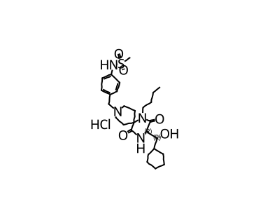 CCCCN1C(=O)[C@@H]([C@H](O)C2CCCCC2)NC(=O)C12CCN(Cc1ccc(NS(C)(=O)=O)cc1)CC2.Cl